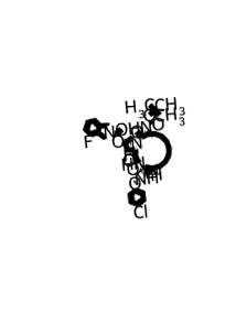 CC(C)(C)OC(=O)N[C@H]1CCCCCCC[C@@H]2C[C@@]2(C(=O)NOc2ccc(Cl)cc2)NC(=O)[C@@H]2C[C@@H](OC(=O)N3Cc4cccc(F)c4C3)CN2C1=O